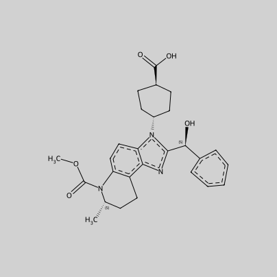 COC(=O)N1c2ccc3c(nc([C@@H](O)c4ccccc4)n3[C@H]3CC[C@H](C(=O)O)CC3)c2CC[C@@H]1C